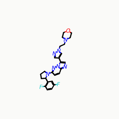 Fc1ccc(F)c(C2CCCN2c2ccc3ncc(-c4cnn(CCN5CCOCC5)c4)n3n2)c1